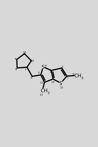 Cc1cc2sc(CC3CCCC3)c(C)c2s1